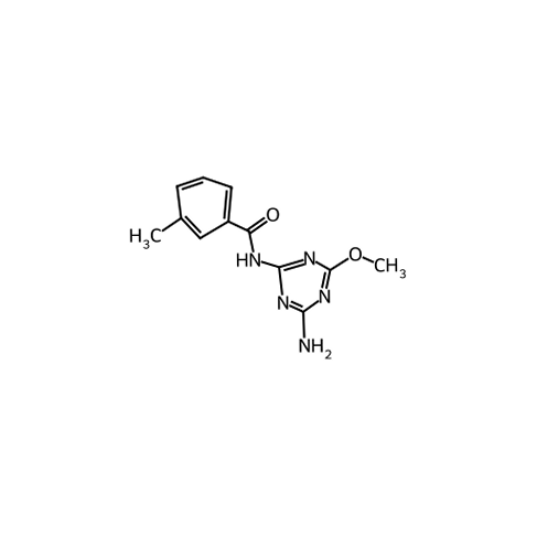 COc1nc(N)nc(NC(=O)c2cccc(C)c2)n1